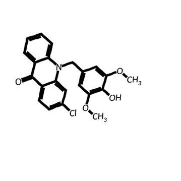 COc1cc(Cn2c3ccccc3c(=O)c3ccc(Cl)cc32)cc(OC)c1O